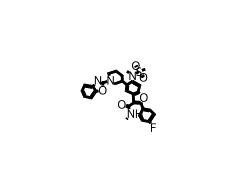 CNC(=O)c1c(-c2ccc(F)cc2)oc2cc(N(C)S(C)(=O)=O)c(C3CCCN(c4nc5ccccc5o4)C3)cc12